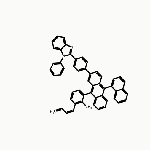 C=C/C=C\c1cccc(-c2c3ccccc3c(-c3cccc4ccccc34)c3ccc(-c4ccc(-c5nc6ccccc6n5-c5ccccc5)cc4)cc23)c1C